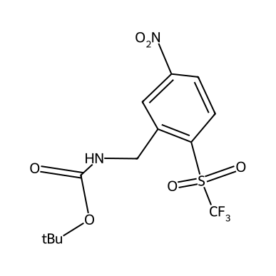 CC(C)(C)OC(=O)NCc1cc([N+](=O)[O-])ccc1S(=O)(=O)C(F)(F)F